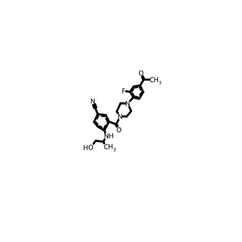 CC(=O)c1ccc(N2CCN(C(=O)c3cc(C#N)ccc3NC(C)CO)CC2)c(F)c1